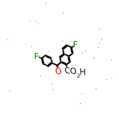 O=C(O)c1cc2cc(F)ccc2cc1C(=O)c1ccc(F)cc1